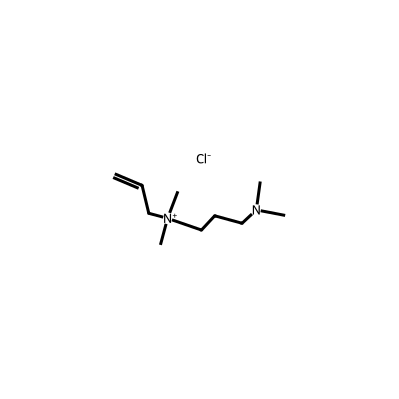 C=CC[N+](C)(C)CCCN(C)C.[Cl-]